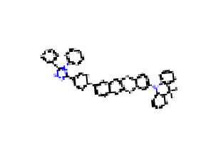 CC1(C)c2ccccc2N(c2ccc3c(c2)Cc2cc4ccc(-c5ccc(-c6nnc(-c7ccccc7)n6-c6ccccc6)cc5)cc4cc2C3)c2ccccc21